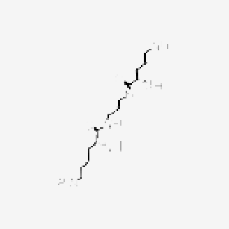 NCCCC[C@H](N)C(=O)NCCC[N]C(=O)[C@@H](N)CCCN